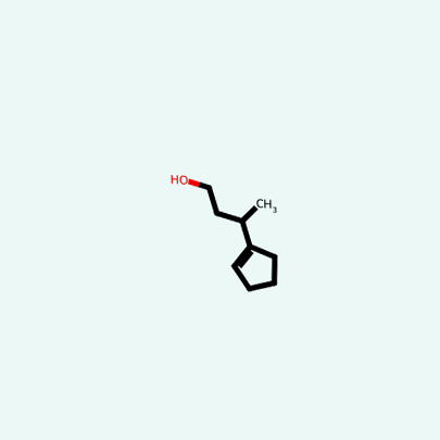 CC(CCO)C1=CCCC1